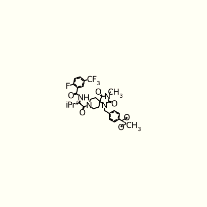 CC(C)[C@@H](NC(=O)c1cc(C(F)(F)F)ccc1F)C(=O)N1CCC2(CC1)C(=O)N(C)C(=O)N2Cc1ccc(S(C)(=O)=O)cc1